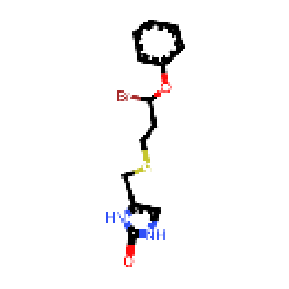 O=c1[nH]cc(CSCCC(Br)Oc2ccccc2)[nH]1